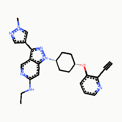 C#Cc1ncccc1O[C@H]1CC[C@@H](n2nc(-c3cnn(C)c3)c3cnc(NCC)cc32)CC1